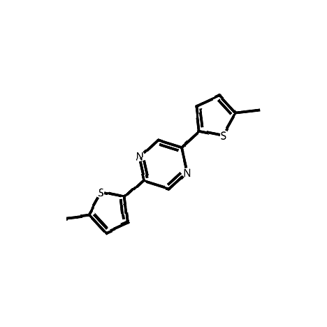 Cc1ccc(-c2cnc(-c3ccc(C)s3)cn2)s1